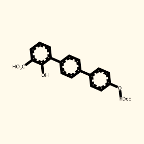 CCCCCCCCCCOc1ccc(-c2ccc(-c3cccc(C(=O)O)c3O)cc2)cc1